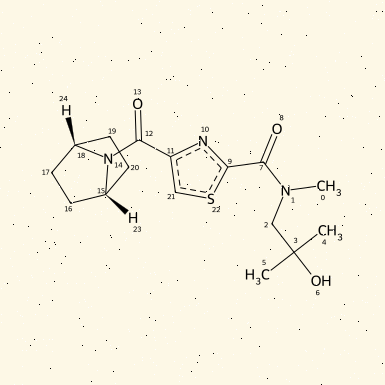 CN(CC(C)(C)O)C(=O)c1nc(C(=O)N2[C@H]3CC[C@@H]2CC3)cs1